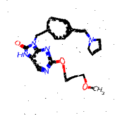 COCCOc1ncc2[nH]c(=O)n(Cc3ccc(CN4CC=CC4)cc3)c2n1